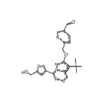 CC(C)(C)c1c(OCc2ccc(C=O)cn2)nn2c(-c3cc(CO)on3)nncc12